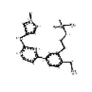 Cn1cc(Nc2nccc(-c3ccc(CN)c(CCO[Si](C)(C)C(C)(C)C)c3)n2)cn1